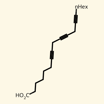 CCCCCCC#CCC#CCC#CCCCCCC(=O)O